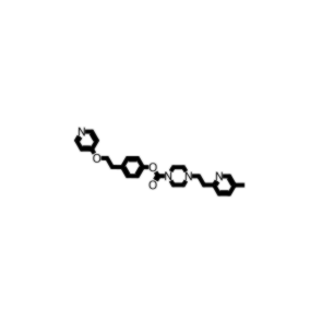 Cc1ccc(CCN2CCN(C(=O)Oc3ccc(CCOc4ccncc4)cc3)CC2)nc1